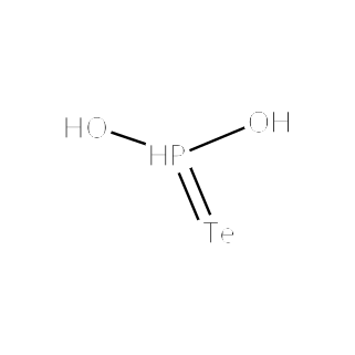 O[PH](O)=[Te]